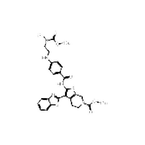 CC(C)N(CCNc1ccc(C(=O)Nc2sc3c(c2-c2nc4ccccc4s2)CCN(C(=O)OC(C)(C)C)C3)cc1)C(=O)OC(C)(C)C